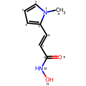 Cn1cccc1C=CC(=O)NO